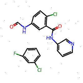 Fc1cccc(Cl)c1.O=CNc1ccc(Cl)c(C(=O)Nc2cccnc2)c1